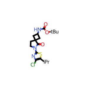 CC(C)c1sc(N2CCC3(CC(NC(=O)OC(C)(C)C)C3)C2=O)nc1Cl